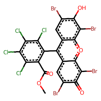 COC(=O)c1c(Cl)c(Cl)c(Cl)c(Cl)c1-c1c2cc(Br)c(=O)c(Br)c-2oc2c(Br)c(O)c(Br)cc12